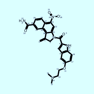 C=C1CN(C(=O)c2cc3cc(OCCN(C)C)ccc3[nH]2)c2cc([N+](=O)[O-])c3ccc(C(N)=O)cc3c21